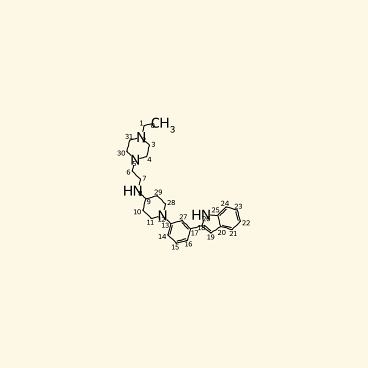 CCN1CCN(CCNC2CCN(c3cccc(-c4cc5ccccc5[nH]4)c3)CC2)CC1